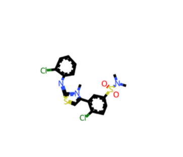 CN(C)S(=O)(=O)c1ccc(Cl)c(-c2cs/c(=N/c3ccccc3Cl)n2C)c1